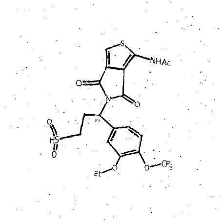 CCOc1cc([C@@H](CC[SH](=O)=O)N2C(=O)c3csc(NC(C)=O)c3C2=O)ccc1OC(F)(F)F